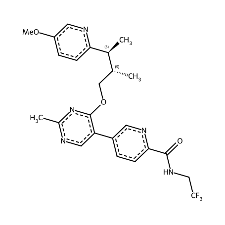 COc1ccc([C@@H](C)[C@H](C)COc2nc(C)ncc2-c2ccc(C(=O)NCC(F)(F)F)nc2)nc1